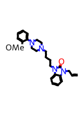 C=CCn1c(=O)n(CCCCN2CCN(c3ccccc3OC)CC2)c2ccccc21